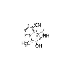 CC(CO)c1cccc(C#N)c1C1CNC1